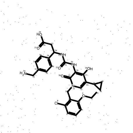 CCOc1cccc(Cl)c1Cn1cc(C2CC2)c(O)c(NC(=O)NC(CC(=O)O)c2ccc(CN)cc2)c1=O